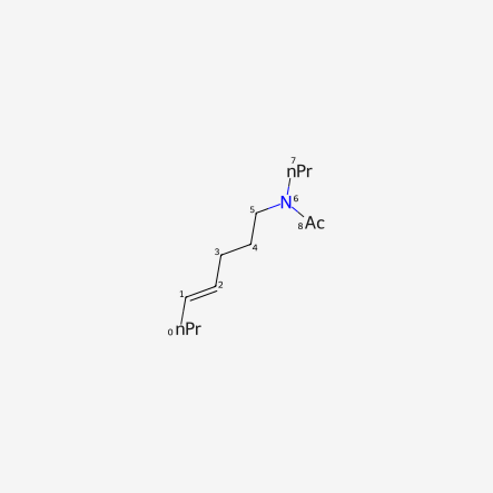 CCCC=CCCCN(CCC)C(C)=O